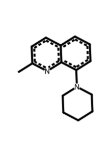 Cc1ccc2cccc(N3CCCCC3)c2n1